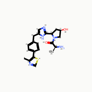 Cc1ncsc1-c1ccc(Cc2cnc(C3C[C@@H](O)CN3C(=O)[C@@H](N)C(C)(C)C)[nH]2)cc1